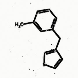 Cc1cccc(Cc2ccsc2)c1